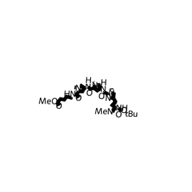 CN/C=C(\C=Cc1cn(C)c(C(=O)Nc2cc(C(=O)Nc3cc(C(=O)NCCCCC(=O)OC)n(C)c3)n(C)c2)n1)NC(=O)OC(C)(C)C